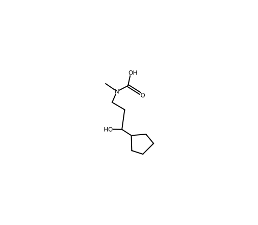 CN(CCC(O)C1CCCC1)C(=O)O